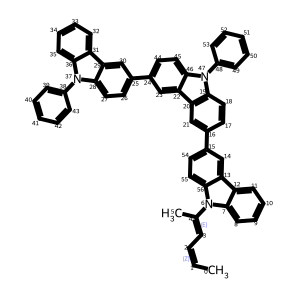 C/C=C\C=C(/C)n1c2ccccc2c2cc(-c3ccc4c(c3)c3cc(-c5ccc6c(c5)c5ccccc5n6-c5ccccc5)ccc3n4-c3ccccc3)ccc21